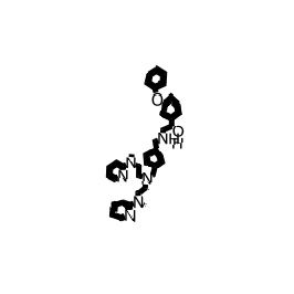 CN(CCN(CCN(C)c1ccccn1)Cc1ccc(CNCC(O)c2cccc(Oc3ccccc3)c2)cc1)c1ccccn1